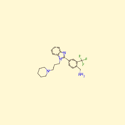 NCc1ccc(-c2nc3ccccc3n2CCCN2CCCCC2)cc1C(F)(F)F